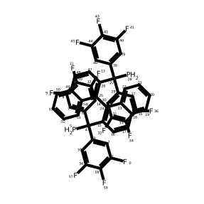 Fc1cc(C(P)(c2cc(F)c(F)c(F)c2)c2ccc3ccccc3c2-c2c(C(P)(c3cc(F)c(F)c(F)c3)c3cc(F)c(F)c(F)c3)ccc3ccccc23)cc(F)c1F